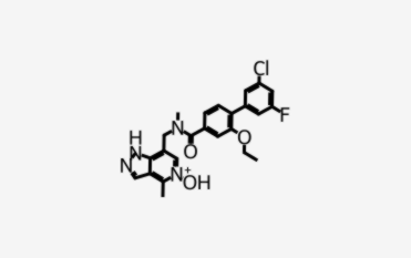 CCOc1cc(C(=O)N(C)Cc2c[n+](O)c(C)c3cn[nH]c23)ccc1-c1cc(F)cc(Cl)c1